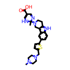 CN1CCN(Cc2ccc(-c3ccc4[nH]c5c(c4c3)CN(C3(C)N=CC(C(=O)O)=CN3)CC5)s2)CC1